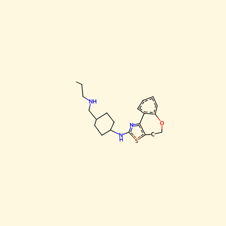 CCCNCC1CCC(Nc2nc3c(s2)CCOc2ccccc2-3)CC1